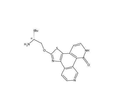 CC(C)(C)[C@@H](N)COc1nc2c3ccncc3c3c(=O)[nH]ccc3c2s1